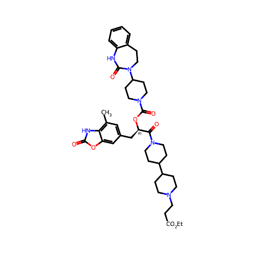 CCOC(=O)CCN1CCC(C2CCN(C(=O)[C@@H](Cc3cc(C)c4[nH]c(=O)oc4c3)OC(=O)N3CCC(N4CCc5ccccc5NC4=O)CC3)CC2)CC1